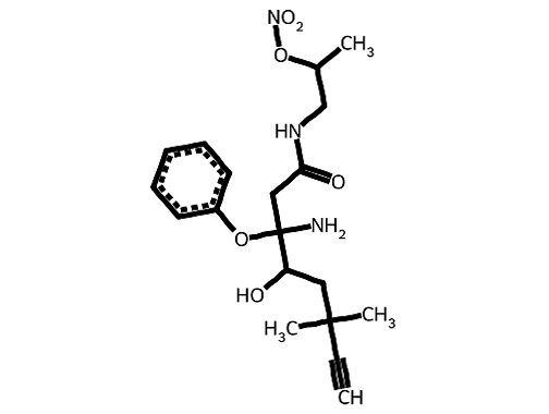 C#CC(C)(C)CC(O)C(N)(CC(=O)NCC(C)O[N+](=O)[O-])Oc1ccccc1